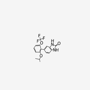 CC(C)Oc1cccc(OC(F)(F)F)c1-c1ccc2[nH]c(=O)[nH]c2c1